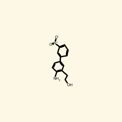 Nc1ccc(-c2cccc([N+](=O)[O-])c2)cc1CCO